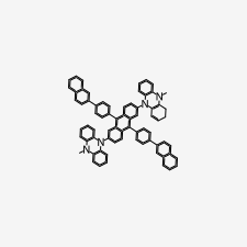 CN1C2=C(C=CCC2)N(c2ccc3c(-c4ccc(-c5ccc6ccccc6c5)cc4)c4cc(N5c6ccccc6N(C)c6ccccc65)ccc4c(-c4ccc(-c5ccc6ccccc6c5)cc4)c3c2)c2ccccc21